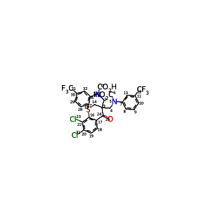 O=C(O)N(CC1(CN(C(=O)O)c2cccc(C(F)(F)F)c2)CSc2c(ccc(Cl)c2Cl)C1=O)c1cccc(C(F)(F)F)c1